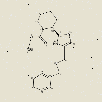 CC(C)(C)OC(=O)N1CCCC[C@H]1c1nnc(CCCc2ccccc2)[nH]1